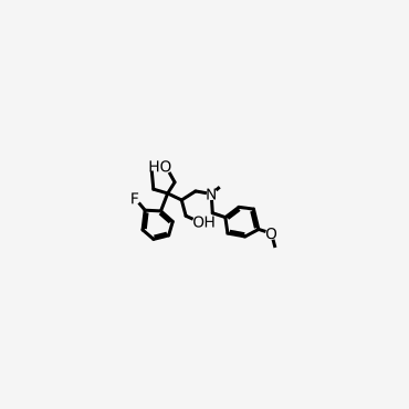 CCC(CO)(c1ccccc1F)C(CO)CN(C)Cc1ccc(OC)cc1